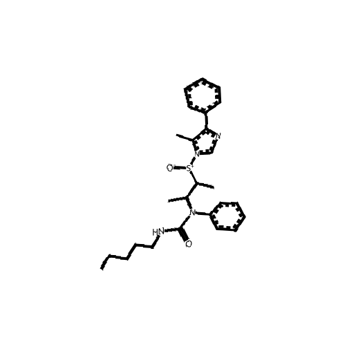 CCCCCNC(=O)N(c1ccccc1)C(C)C(C)[S+]([O-])n1cnc(-c2ccccc2)c1C